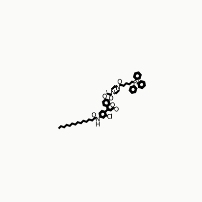 CCCCCCCCCCCCCC(=O)Nc1ccc(-c2cc(=O)oc3cc(O[C@H](C)C(=O)N4CCN(C(=O)CCCC[P+](c5ccccc5)(c5ccccc5)c5ccccc5)CC4)ccc23)c(Cl)c1